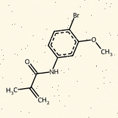 C=C(C)C(=O)Nc1ccc(Br)c(OC)c1